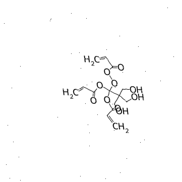 C=CC(=O)OOC(OC(=O)C=C)(OC(=O)C=C)C(CO)(CO)CO